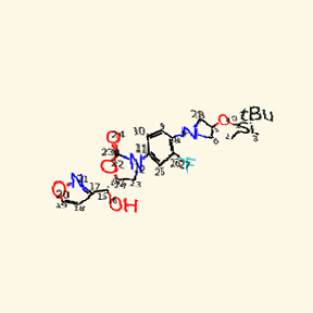 CC(C)(C)[Si](C)(C)OC1CN(c2ccc(N3C[C@H](C(O)c4ccon4)OC3=O)cc2F)C1